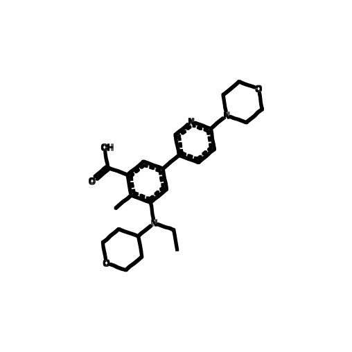 CCN(c1cc(-c2ccc(N3CCOCC3)nc2)cc(C(=O)O)c1C)C1CCOCC1